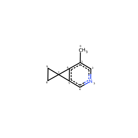 Cc1cn[c]c2c1C21CC1